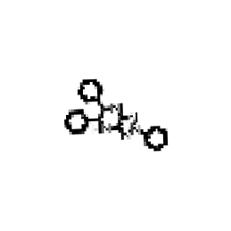 c1ccc(C2Nc3nn(-c4ccccc4)nc3NC2c2ccccc2)cc1